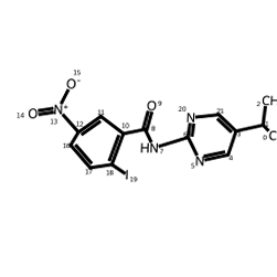 CC(C)c1cnc(NC(=O)c2cc([N+](=O)[O-])ccc2I)nc1